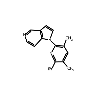 Cc1cc(C(F)(F)F)c(C(C)C)nc1-n1ccc2cnccc21